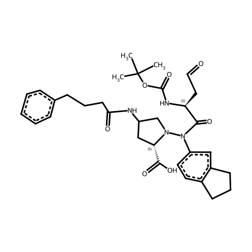 CC(C)(C)OC(=O)N[C@@H](CC=O)C(=O)N(c1ccc2c(c1)CCC2)N1CC(NC(=O)CCCc2ccccc2)C[C@H]1C(=O)O